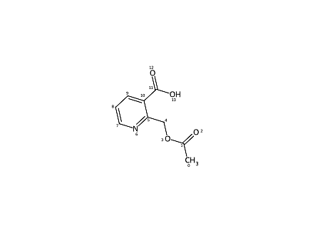 CC(=O)OCc1ncccc1C(=O)O